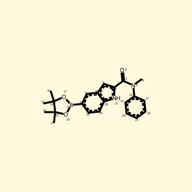 CN(C(=O)c1cc2cc(B3OC(C)(C)C(C)(C)O3)ccc2[nH]1)c1ccccc1